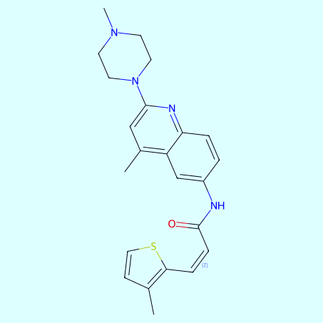 Cc1ccsc1/C=C\C(=O)Nc1ccc2nc(N3CCN(C)CC3)cc(C)c2c1